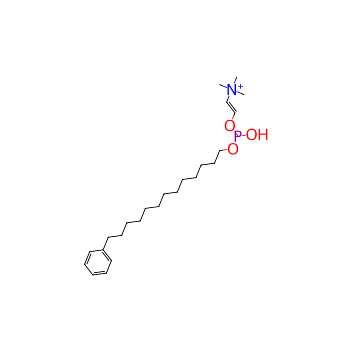 C[N+](C)(C)C=COP(O)OCCCCCCCCCCCCCc1ccccc1